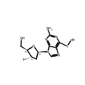 CCCSc1nc(N)nc2c1ncn2[C@H]1C[C@H](F)[C@@H](CO)O1